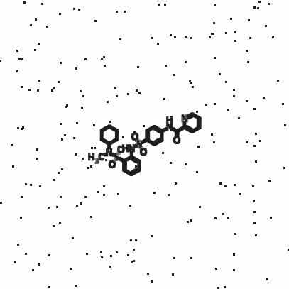 CN(C1CCCCC1)S(=O)(=O)c1ccccc1NS(=O)(=O)c1ccc(NC(=O)c2ccccn2)cc1